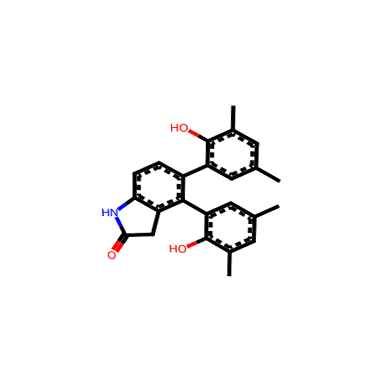 Cc1cc(C)c(O)c(-c2ccc3c(c2-c2cc(C)cc(C)c2O)CC(=O)N3)c1